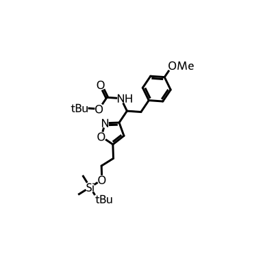 COc1ccc(CC(NC(=O)OC(C)(C)C)c2cc(CCO[Si](C)(C)C(C)(C)C)on2)cc1